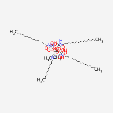 CCCCCCCCCCCCCCCCCC(=O)NC(CO)(CO)CO[Si](CCC[N+](C)(C)CCCCCCCCCCCC)(OCC(CO)(CO)NC(=O)CCCCCCCCCCCCCCCCC)OCC(CO)(CO)NC(=O)CCCCCCCCCCCCCCCCC